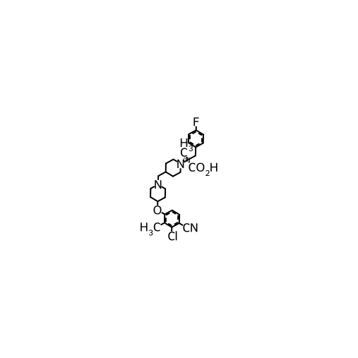 Cc1c(OC2CCN(CC3CCN([C@@](C)(Cc4ccc(F)cc4)C(=O)O)CC3)CC2)ccc(C#N)c1Cl